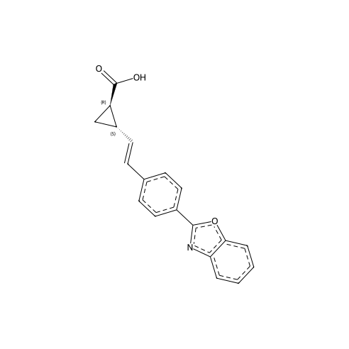 O=C(O)[C@@H]1C[C@H]1C=Cc1ccc(-c2nc3ccccc3o2)cc1